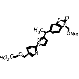 COCn1c(=O)sc2cc(C(C)c3ccn(-c4ccc(COCC(=O)O)cn4)n3)ccc21